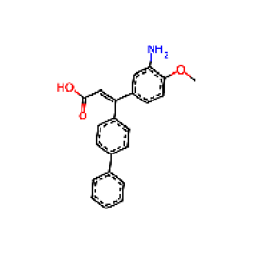 COc1ccc(/C(=C/C(=O)O)c2ccc(-c3ccccc3)cc2)cc1N